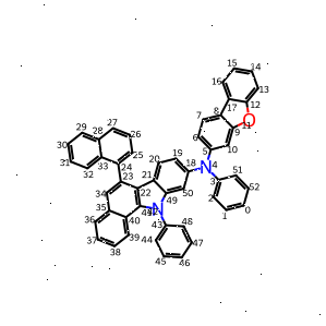 c1ccc(N(c2ccc3c(c2)oc2ccccc23)c2ccc3c4c(-c5cccc6ccccc56)cc5ccccc5c4n(-c4ccccc4)c3c2)cc1